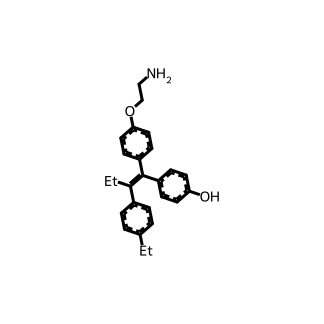 CC/C(=C(/c1ccc(O)cc1)c1ccc(OCCN)cc1)c1ccc(CC)cc1